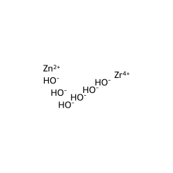 [OH-].[OH-].[OH-].[OH-].[OH-].[OH-].[Zn+2].[Zr+4]